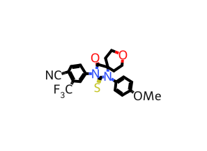 COc1ccc(N2C(=S)N(c3ccc(C#N)c(C(F)(F)F)c3)C(=O)C23CCOCC3)cc1